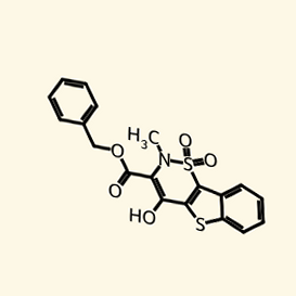 CN1C(C(=O)OCc2ccccc2)=C(O)c2sc3ccccc3c2S1(=O)=O